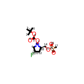 CC(C)(C)OC(=O)ON1C[C@@H](F)C[C@@H]1COS(C)(=O)=O